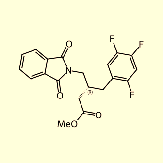 COC(=O)C[C@@H](Cc1cc(F)c(F)cc1F)CN1C(=O)c2ccccc2C1=O